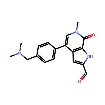 CN(C)Cc1ccc(-c2cn(C)c(=O)c3[nH]c(C=O)cc23)cc1